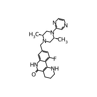 C[C@H]1CN(c2cnccn2)[C@@H](C)CN1Cc1cc(F)c2c3c(c(=O)[nH]c2c1)CCCN3